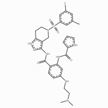 CN(C)CCNc1ccc(C(=O)Nc2n[nH]c3c2CN(S(=O)(=O)c2cc(F)cc(F)c2)CC3)c(NC(=O)c2ccc[nH]2)c1